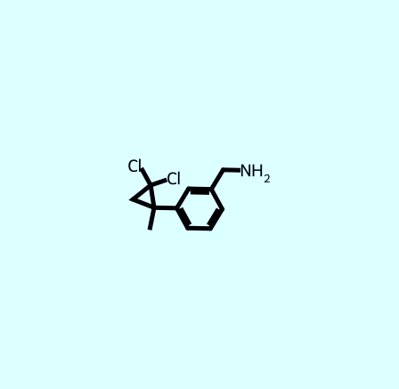 CC1(c2cccc(CN)c2)CC1(Cl)Cl